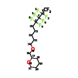 FC(F)(F)C(F)(F)C(F)(F)C(F)(F)CCCCCOCC1CCCCO1